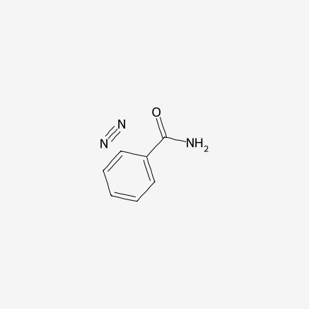 N#N.NC(=O)c1ccccc1